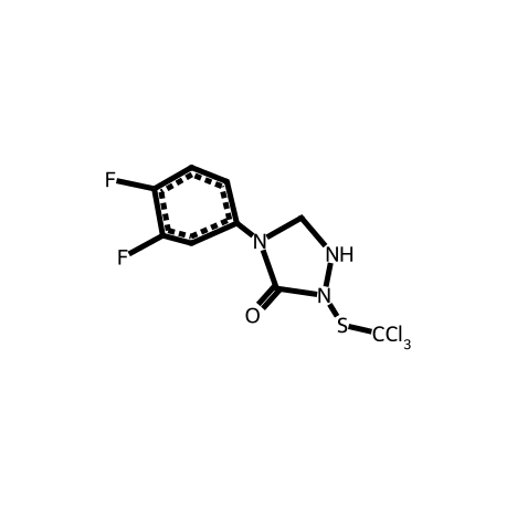 O=C1N(SC(Cl)(Cl)Cl)NCN1c1ccc(F)c(F)c1